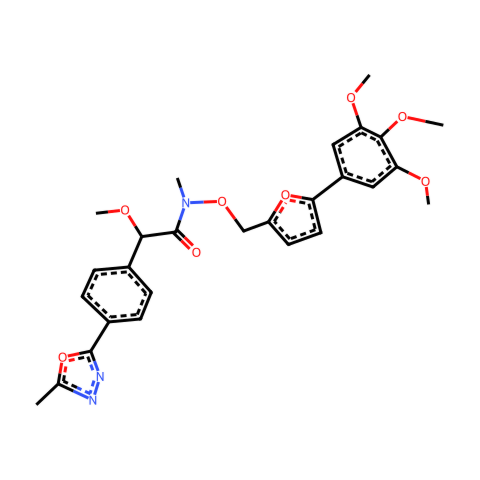 COc1cc(-c2ccc(CON(C)C(=O)C(OC)c3ccc(-c4nnc(C)o4)cc3)o2)cc(OC)c1OC